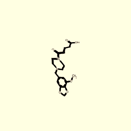 COc1cc(CN2CCN(C(=O)CCCC(=O)O)CC2)cc2c1OCO2